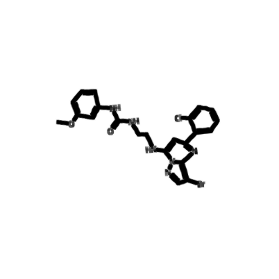 COc1cccc(NC(=O)NCCNc2cc(-c3ccccc3Cl)nc3c(Br)cnn23)c1